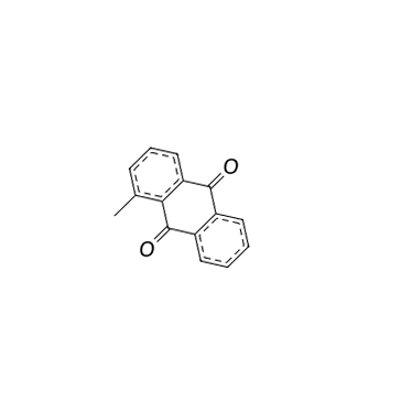 Cc1cccc2c1C(=O)c1ccccc1C2=O